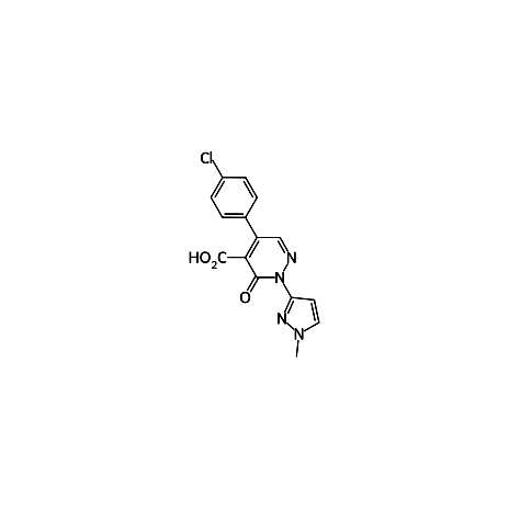 Cn1ccc(-n2ncc(-c3ccc(Cl)cc3)c(C(=O)O)c2=O)n1